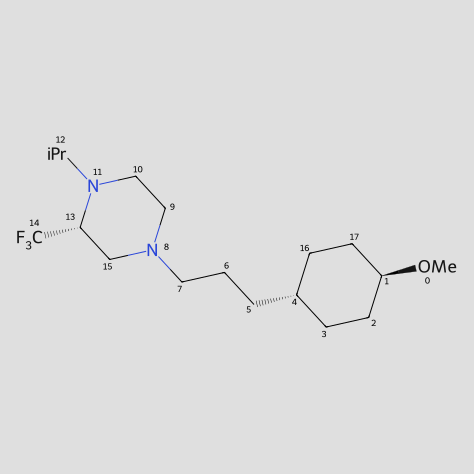 CO[C@H]1CC[C@H](CCCN2CCN(C(C)C)[C@@H](C(F)(F)F)C2)CC1